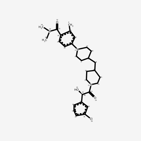 Cc1cc(N2CCC(CC3CCN(C(=O)[C@H](O)c4cccc(Cl)c4)CC3)CC2)ccc1C(=O)N(C)C